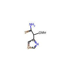 COC(C(N)=S)c1cscn1